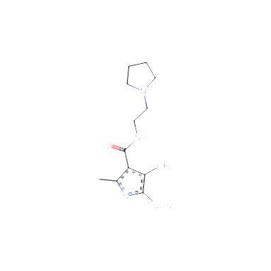 Cc1[nH]c(C=O)c(C(F)(F)F)c1C(=O)NCCN1CCCC1